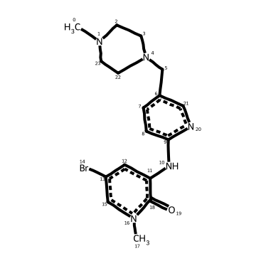 CN1CCN(Cc2ccc(Nc3cc(Br)cn(C)c3=O)nc2)CC1